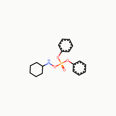 O=P(ONC1CCCCC1)(Oc1ccccc1)Oc1ccccc1